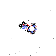 C[C@@H]1C[C@H]2C(=O)O[C@@H](C)[C@H](NC(=O)[C@H](Cc3ccccc3)NC(=O)Nc3ccccc3Cl)C(=O)N3CCC[C@H]3C(=O)N3CCCC[C@H]3C(=O)N[C@@H](C)C(=O)N2C1